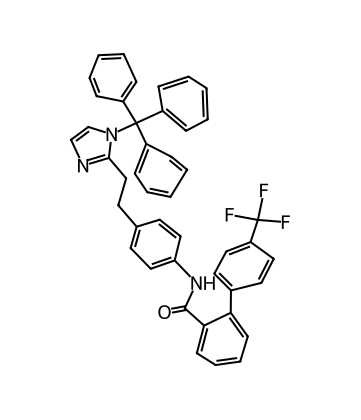 O=C(Nc1ccc(CCc2nccn2C(c2ccccc2)(c2ccccc2)c2ccccc2)cc1)c1ccccc1-c1ccc(C(F)(F)F)cc1